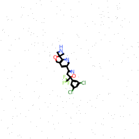 FC(F)(F)C1(c2cc(Cl)cc(Cl)c2)CC(c2cnc3c(c2)COC32CNC2)=NO1